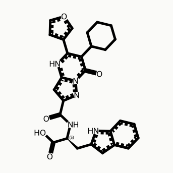 O=C(N[C@@H](Cc1cc2ccccc2[nH]1)C(=O)O)c1cc2[nH]c(-c3ccoc3)c(C3CCCCC3)c(=O)n2n1